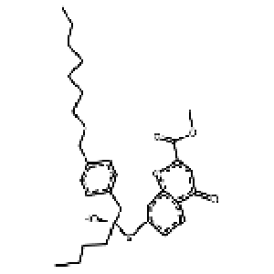 CCCCCCCCCc1ccc(C[C@@](O)(CCCC)Sc2ccc3c(=O)cc(C(=O)OC)oc3c2)cc1